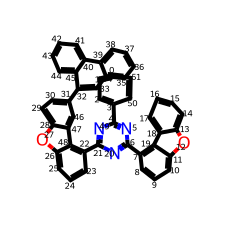 c1ccc(-c2nc(-c3cccc4oc5ccccc5c34)nc(-c3cccc4oc5ccc(-c6cc7ccccc7c7ccccc67)cc5c34)n2)cc1